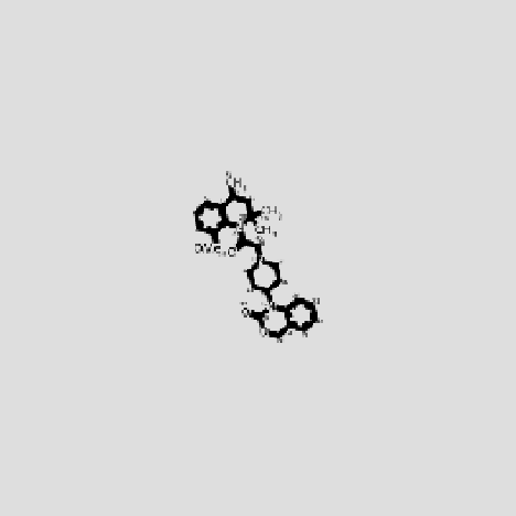 COc1cccc2c1N(C(=O)CN1CCC(N3C(=O)OCc4ccccc43)CC1)C(C)(C)CC2C